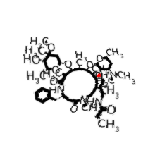 CCC(=O)NCCCO[C@H]1[C@H](O[C@@H]2[C@@H](C)[C@H](O[C@H]3C[C@@](C)(OC)[C@@H](O)[C@H](C)O3)C(C)C(=O)N[C@@H](Cc3ccccc3)CC(=O)N(C)C[C@H](C)C[C@@]2(C)O)O[C@H](C)C[C@@H]1N(C)C